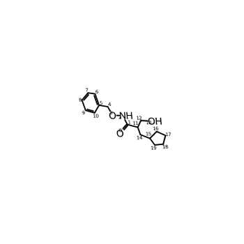 O=C(NOCc1ccccc1)C(CO)CC1CCCC1